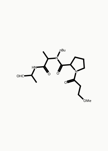 CCCCN(C(=O)C1CCCN1C(=O)CCOC)C(C)C(=O)NC(C)C=O